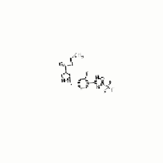 CCOC(=O)c1cnn(Cc2ccc(-c3noc(C(F)(F)F)n3)c(F)c2)c1